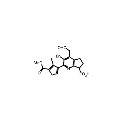 COC(=O)c1scc(-c2nc3c(c(CC=O)c2Br)CCC3C(=O)O)c1F